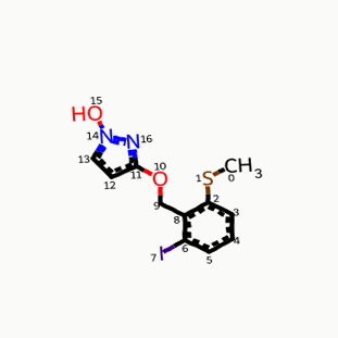 CSc1cccc(I)c1COc1ccn(O)n1